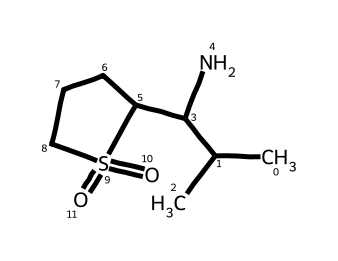 CC(C)C(N)C1CCCS1(=O)=O